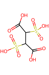 O=C(O)C(C(C(=O)O)S(=O)(=O)O)S(=O)(=O)O